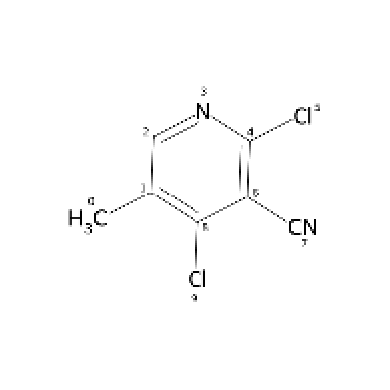 Cc1cnc(Cl)c(C#N)c1Cl